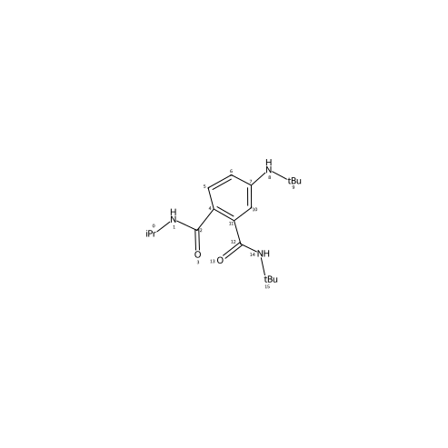 CC(C)NC(=O)c1ccc(NC(C)(C)C)cc1C(=O)NC(C)(C)C